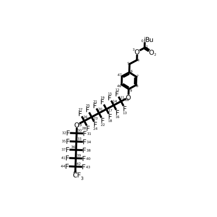 CCC(C)C(=O)OCCc1ccc(OC(F)(F)C(F)(F)C(F)(F)C(F)(F)C(F)(F)C(F)(F)OC(F)(F)C(F)(F)C(F)(F)C(F)(F)C(F)(F)C(F)(F)F)cc1